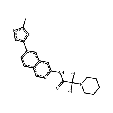 [2H]C([2H])(C(=O)Nc1cc2cc(-c3nnc(C)s3)ccc2cn1)N1CCCCC1